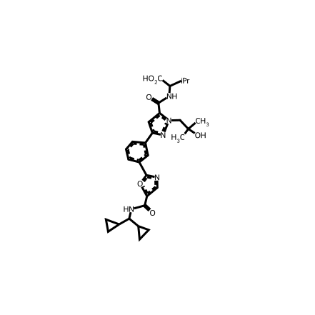 CC(C)C(NC(=O)c1cc(-c2cccc(-c3ncc(C(=O)NC(C4CC4)C4CC4)o3)c2)nn1CC(C)(C)O)C(=O)O